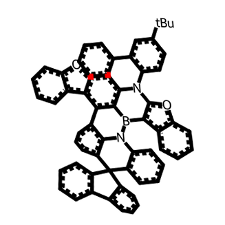 CC(C)(C)c1ccc(N2c3cc4oc5ccccc5c4c4c3B(c3c2oc2ccccc32)N2c3ccccc3C3(c5ccccc5-c5ccccc53)c3cccc-4c32)c(-c2ccccc2)c1